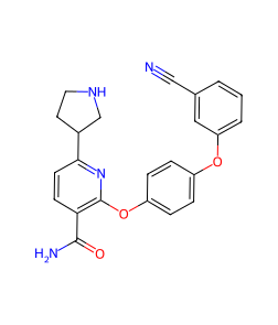 N#Cc1cccc(Oc2ccc(Oc3nc(C4CCNC4)ccc3C(N)=O)cc2)c1